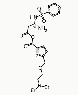 CCN(CC)CCOCc1ccc(C(=O)OC(=O)C[C@@H](N)NS(=O)(=O)c2ccccc2)s1